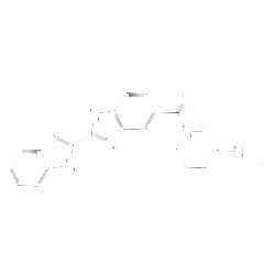 Cn1c(-c2nc3cc(C(=O)N4CCCC(N)C4)ccc3n2C)cc2ccccc21